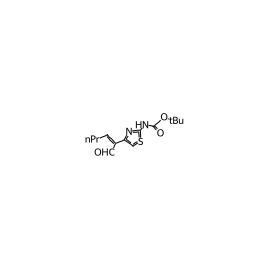 CCC/C=C(\C=O)c1csc(NC(=O)OC(C)(C)C)n1